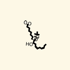 CC/C=C\C/C=C\CC(O)[C@@H](CCCCCCCC(=O)OC)O[Si](C)(C)C(C)(C)C